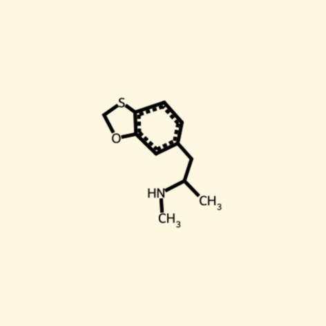 CNC(C)Cc1ccc2c(c1)OCS2